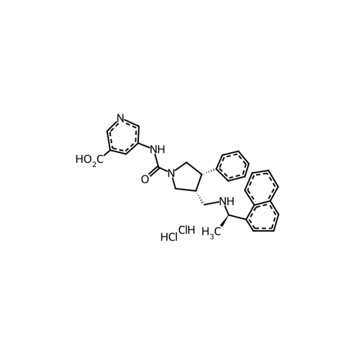 C[C@@H](NC[C@@H]1CN(C(=O)Nc2cncc(C(=O)O)c2)C[C@@H]1c1ccccc1)c1cccc2ccccc12.Cl.Cl